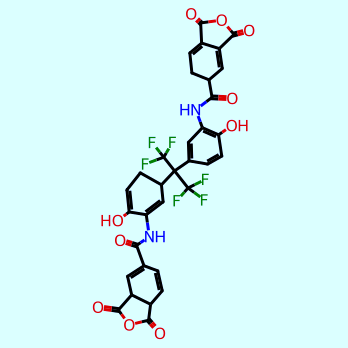 O=C(NC1=CC(C(c2ccc(O)c(NC(=O)C3C=C4C(=O)OC(=O)C4=CC3)c2)(C(F)(F)F)C(F)(F)F)CC=C1O)C1=CC2C(=O)OC(=O)C2C=C1